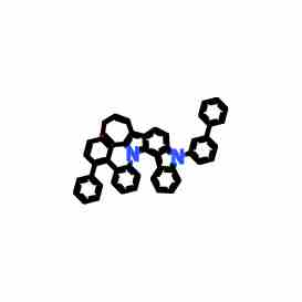 C1#Cc2c(c3ccc4c(c5ccccc5n4-c4cccc(-c5ccccc5)c4)c3n2-c2ccccc2C2=C(c3ccccc3)C=CCC2)C=CC1